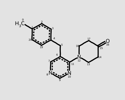 Cc1ccc(Cc2cncnc2N2CCC(=O)CC2)cc1